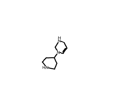 C1=CN(C2CCNCC2)CNC1